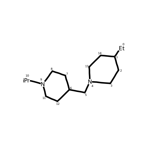 CCC1CCN(CC2CCN(C(C)C)CC2)CC1